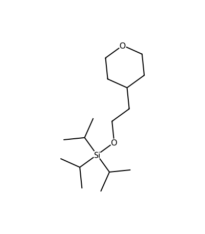 CC(C)[Si](OCCC1CCOCC1)(C(C)C)C(C)C